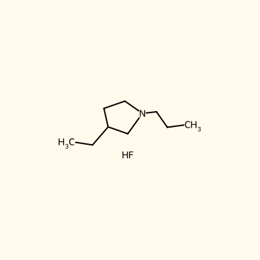 CCCN1CCC(CC)C1.F